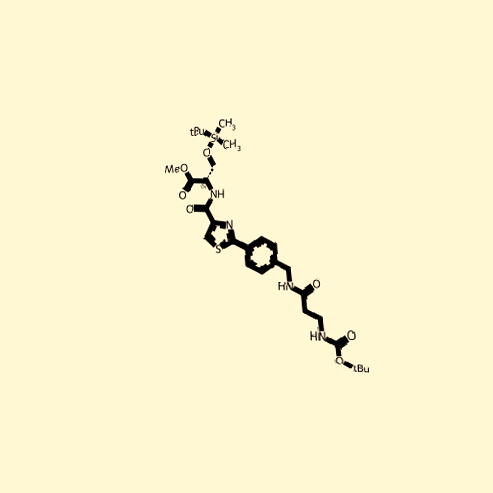 COC(=O)[C@H](CO[Si](C)(C)C(C)(C)C)NC(=O)c1csc(-c2ccc(CNC(=O)CCNC(=O)OC(C)(C)C)cc2)n1